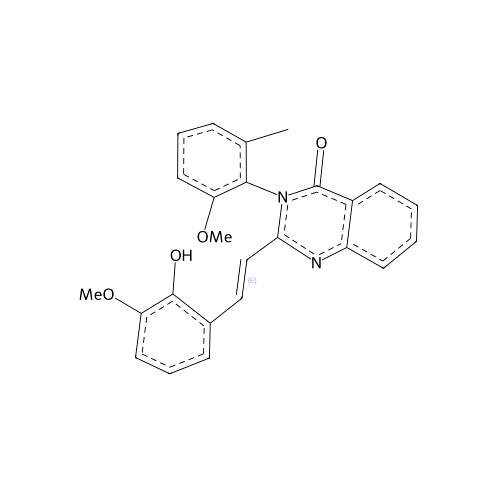 COc1cccc(/C=C/c2nc3ccccc3c(=O)n2-c2c(C)cccc2OC)c1O